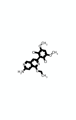 CCOc1nc(-c2c(Cl)c(OC)cc(OC)c2Cl)cc2cnc(N)cc12